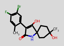 Cc1cc(F)c(Br)cc1C1=C(O)C2(CCC(O)(C(F)(F)F)CC2)NC1=O